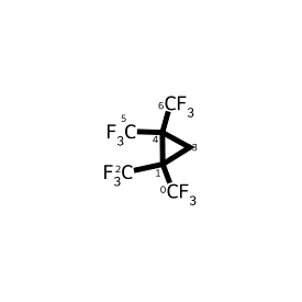 FC(F)(F)C1(C(F)(F)F)CC1(C(F)(F)F)C(F)(F)F